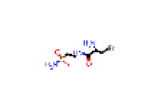 CC(C)C[C@H](N)C(=O)NCCS(N)(=O)=O